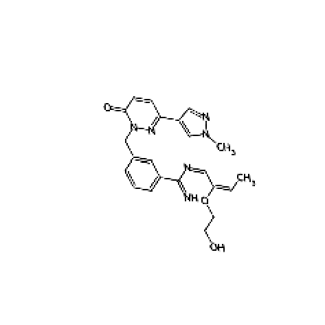 C/C=C(\C=N/C(=N)c1cccc(Cn2nc(-c3cnn(C)c3)ccc2=O)c1)OCCO